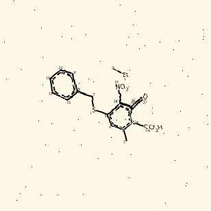 CCC.Cc1cc(SCc2ccccc2)c([N+](=O)[O-])c(=O)n1C(=O)O